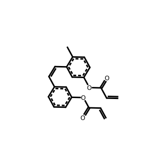 C=CC(=O)Oc1cccc(/C=C\c2cc(OC(=O)C=C)ccc2C)c1